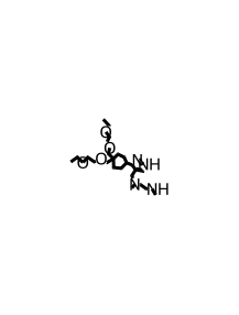 CCOCCOCC1(COCCOCC)CCC(c2n[nH]cc2CN(C)CCNC)CC1